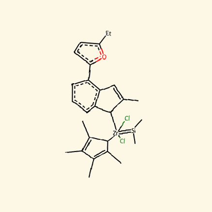 CCc1ccc(-c2cccc3c2C=C(C)[CH]3[Zr]([Cl])([Cl])([CH]2C(C)=C(C)C(C)=C2C)=[Si](C)C)o1